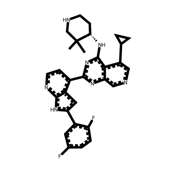 CC1(C)CNCC[C@@H]1Nc1nc(-c2ccnc3[nH]c(-c4cc(F)ccc4F)cc23)nc2cncc(C3CC3)c12